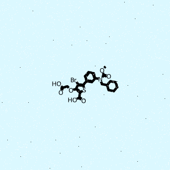 COC(=O)N(CC1CCCCC1)c1cccc(-c2sc(C(=O)O)c(OCC(=O)O)c2Br)c1